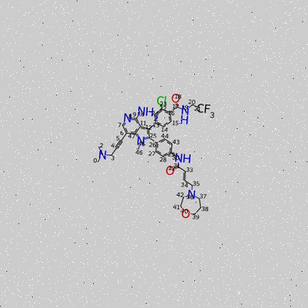 CN(C)CC#Cc1cnc(N)c2c(-c3ccc(C(=O)NCC(F)(F)F)c(Cl)c3)c(-c3ccc(NC(=O)/C=C/CN4CCCOCC4)cc3)n(C)c12